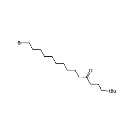 CC(C)(C)CCCC(=O)CCCCCCCCCCBr